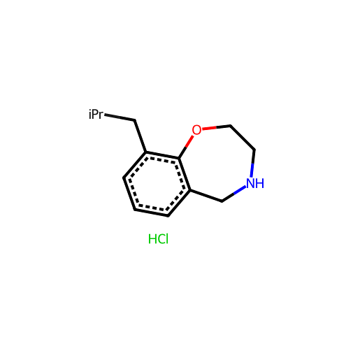 CC(C)Cc1cccc2c1OCCNC2.Cl